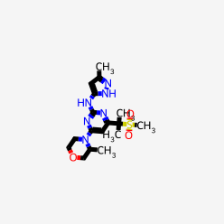 Cc1cc(Nc2nc(N3CCOCC3C)cc(C(C)(C)S(C)(=O)=O)n2)[nH]n1